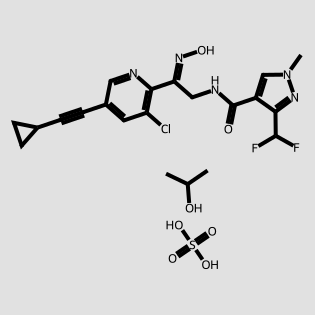 CC(C)O.Cn1cc(C(=O)NCC(=NO)c2ncc(C#CC3CC3)cc2Cl)c(C(F)F)n1.O=S(=O)(O)O